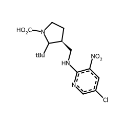 CC(C)(C)C1[C@H](CNc2ncc(Cl)cc2[N+](=O)[O-])CCN1C(=O)O